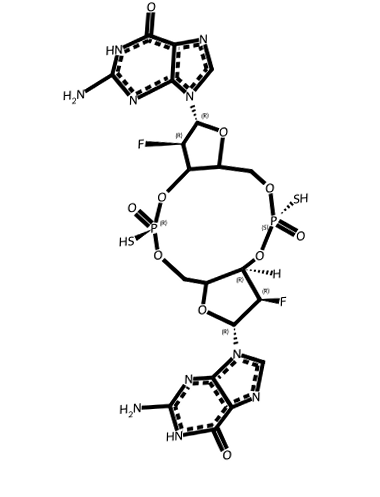 Nc1nc2c(ncn2[C@@H]2OC3CO[P@@](=O)(S)OC4C(CO[P@](=O)(S)O[C@H]3[C@H]2F)O[C@@H](n2cnc3c(=O)[nH]c(N)nc32)[C@@H]4F)c(=O)[nH]1